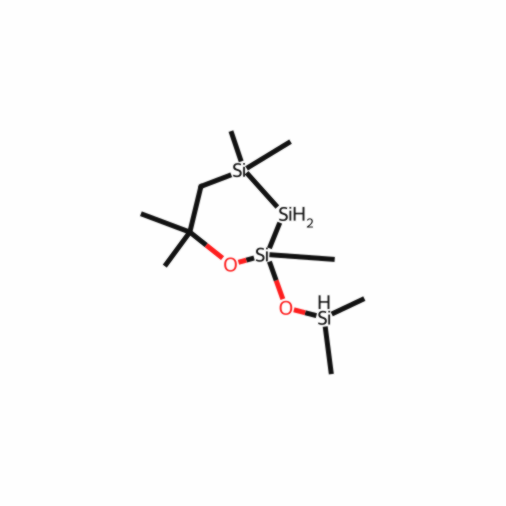 C[SiH](C)O[Si]1(C)OC(C)(C)C[Si](C)(C)[SiH2]1